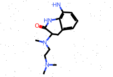 CN(C)CCN(C)C1Cc2cccc([NH])c2NC1=O